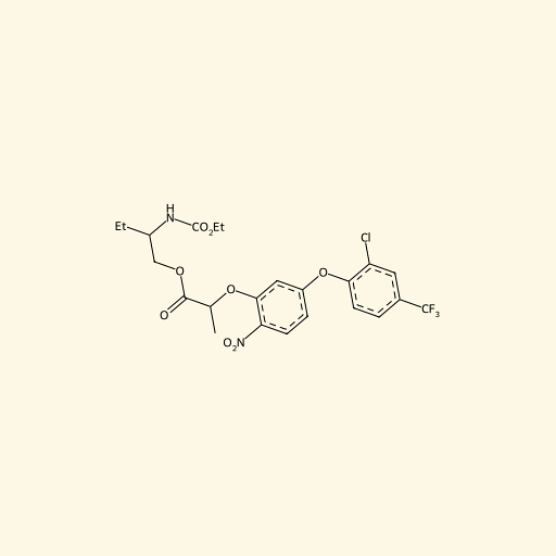 CCOC(=O)NC(CC)COC(=O)C(C)Oc1cc(Oc2ccc(C(F)(F)F)cc2Cl)ccc1[N+](=O)[O-]